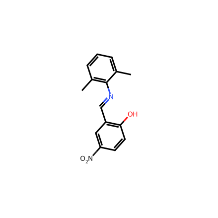 Cc1cccc(C)c1N=Cc1cc([N+](=O)[O-])ccc1O